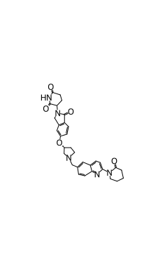 O=C1CCC(N2Cc3cc(O[C@H]4CCN(Cc5ccc6nc(N7CCCCC7=O)ccc6c5)C4)ccc3C2=O)C(=O)N1